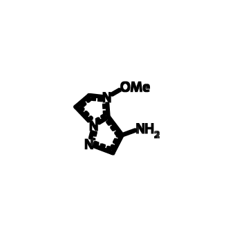 COn1ccn2ncc(N)c12